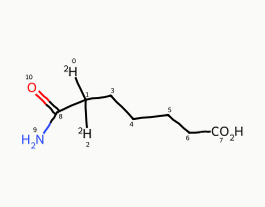 [2H]C([2H])(CCCCC(=O)O)C(N)=O